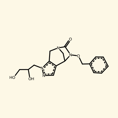 O=C1N2Cc3c(cnn3CC(O)CO)C(C2)N1OCc1ccccc1